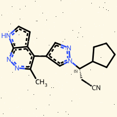 Cc1nnc2[nH]ccc2c1-c1cnn([C@@H](CC#N)C2CCCC2)c1